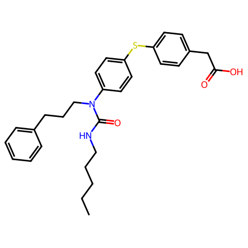 CCCCCNC(=O)N(CCCc1ccccc1)c1ccc(Sc2ccc(CC(=O)O)cc2)cc1